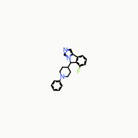 Fc1cccc2c1C(C1CCN(c3ccccc3)CC1)n1cncc1-2